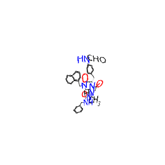 CN(C(=O)NCc1ccccc1)N1CC(=O)N2[C@@H](Cc3ccc(NC=O)cc3)C(=O)N(Cc3cccc4ccccc34)C[C@@H]21